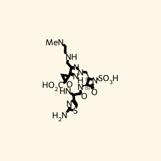 CNCCNCc1cnn(C[C@@H]2[C@H](NC(=O)C(NOC3(C(=O)O)CC3)c3csc(N)n3)C(=O)N2S(=O)(=O)O)n1